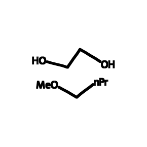 CCCCOC.OCCO